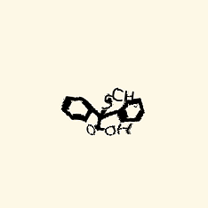 CSC(C(=O)O)(c1ccccc1)c1ccccc1